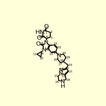 O=C1CCC(n2c(=O)n(C3CC3)c3cc(N4CCC(Cc5cc6n(n5)CCNC6)CC4)ccc32)C(=O)N1